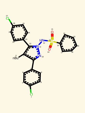 CCCCc1c(-c2ccc(Cl)cc2)nn(NS(=O)(=O)c2ccccc2)c1-c1ccc(Cl)cc1